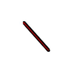 S=S=S=S=S=S=S=S=S=S=S=S=S=S=S=S=S=S=S=S=S=S=S=S=S=S=S=S=S=S=S=S=S=S=S=S=S=S=S=S=S=S=S=S=S=S=S=S=S=S=S=S=S=S=S=S=S=S=S=S=S=S=S=S=S=S=S=S=S=S=S=S=S=S=S=S=S=S=S=S=S=S=S=S=S=S